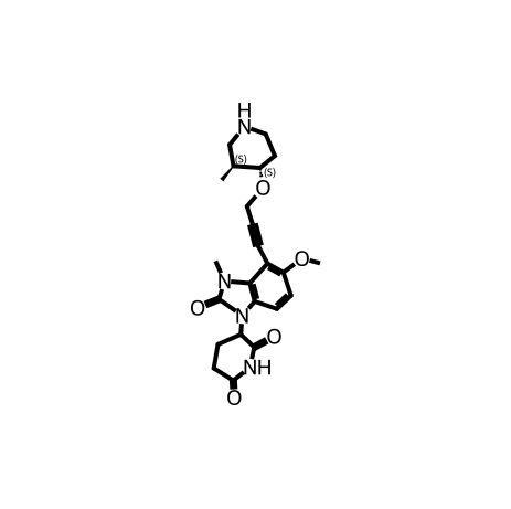 COc1ccc2c(c1C#CCO[C@H]1CCNC[C@@H]1C)n(C)c(=O)n2C1CCC(=O)NC1=O